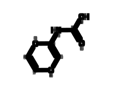 O=C(O)NC1=COC=CO1